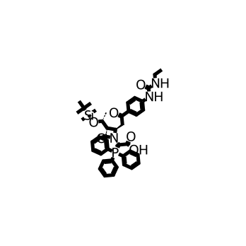 CCNC(=O)Nc1ccc(C(=O)C[C@@H]2[C@@H]([C@@H](C)O[Si](C)(C)C(C)(C)C)C(=O)N2C(C(=O)O)=P(c2ccccc2)(c2ccccc2)c2ccccc2)cc1